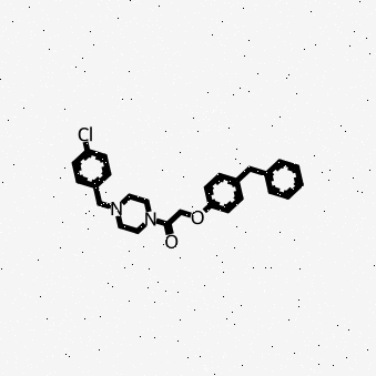 O=C(COc1ccc(Cc2ccccc2)cc1)N1CCN(Cc2ccc(Cl)cc2)CC1